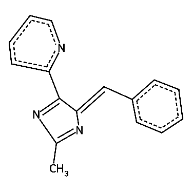 CC1=NC(=Cc2ccccc2)C(c2ccccn2)=N1